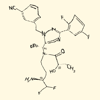 C[C@H](O)C(=O)N(CC[C@H](N)C(F)F)[C@@H](c1nc(-c2cc(F)ccc2F)nn1Cc1cccc(C#N)c1)C(C)(C)C